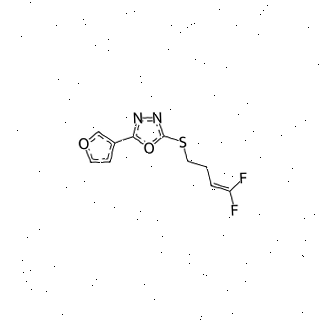 FC(F)=CCCSc1nnc(-c2ccoc2)o1